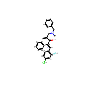 C=C(CN(C)Cc1ccccc1)C(=O)/C(=C/c1ccc(Cl)cc1F)c1ccccc1